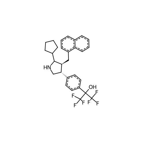 OC(c1ccc([C@@H]2CNC(C3CCCC3)[C@H]2Cc2cccc3ccccc23)cc1)(C(F)(F)F)C(F)(F)F